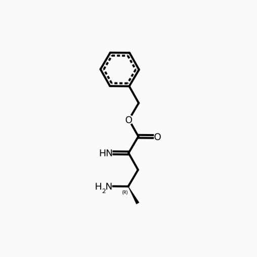 C[C@@H](N)CC(=N)C(=O)OCc1ccccc1